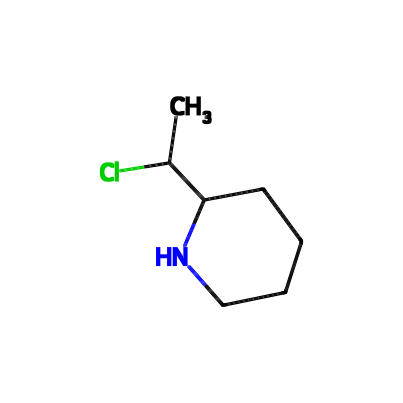 CC(Cl)C1CCCCN1